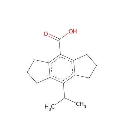 CC(C)c1c2c(c(C(=O)O)c3c1CCC3)CCC2